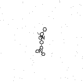 CCc1cc(-c2ccccc2)cc2nc(-c3ccc(-c4ccc5c(c4)c4ccccc4n5-c4ccccc4)cc3)oc12